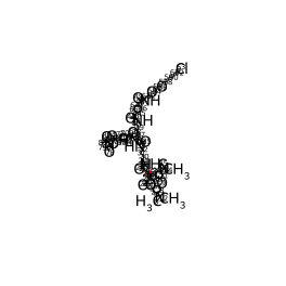 CN(C)c1ccc2c(c1)Oc1cc(N(C)C)ccc1C21OC(=O)c2cc(C(=O)NCCCCNC(=O)C(CCCCNC(=O)c3ccc(C(=O)NCCOCCOCCCCCCCl)cc3)NC(=O)c3ccc(C(=O)ON4C(=O)CCC4=O)cc3)ccc21